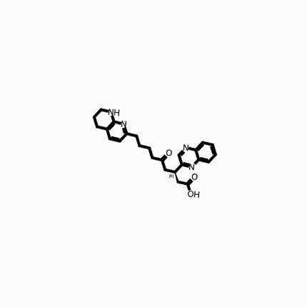 O=C(O)C[C@@H](CC(=O)CCCCc1ccc2c(n1)NCCC2)c1cnc2ccccc2n1